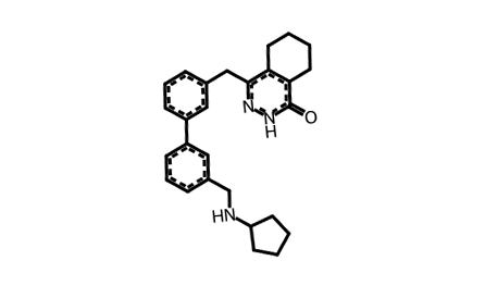 O=c1[nH]nc(Cc2cccc(-c3cccc(CNC4CCCC4)c3)c2)c2c1CCCC2